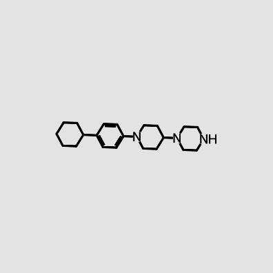 c1cc(N2CCC(N3CCNCC3)CC2)ccc1C1CCCCC1